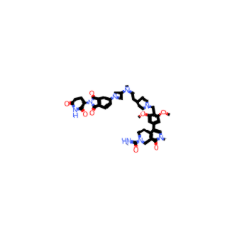 CNC(=O)N1CCc2c(-c3cc(OC)c(CN4CCC(CCN(C)C5CN(c6ccc7c(c6)C(=O)N(C6CCC(=O)NC6=O)C7=O)C5)CC4)c(OC)c3)cn(C)c(=O)c2C1